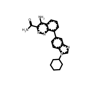 NC(=O)c1nnc2c(-c3ccc4c(c3)ncn4C3CCCCC3)cccc2c1N